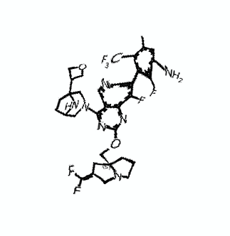 Cc1cc(N)c(F)c(-c2ncc3c(N4CC5CCC(C6COC6)(C4)N5)nc(OC[C@@]45CCCN4CC(=C(F)F)C5)nc3c2F)c1C(F)(F)F